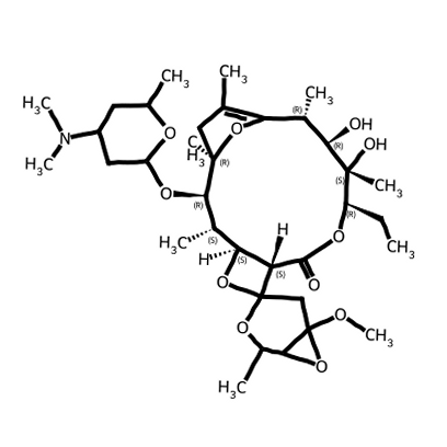 CC[C@H]1OC(=O)[C@H]2[C@@H](OC23CC2(OC)OC2C(C)O3)[C@H](C)[C@@H](OC2CC(N(C)C)CC(C)O2)[C@@]2(C)CC(C)=C(O2)[C@H](C)[C@@H](O)[C@]1(C)O